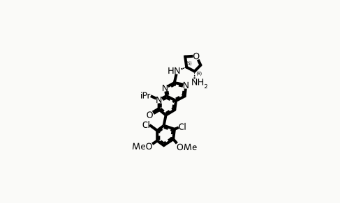 COc1cc(OC)c(Cl)c(-c2cc3cnc(N[C@@H]4COC[C@@H]4N)nc3n(C(C)C)c2=O)c1Cl